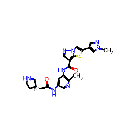 Cc1ncc(NC(=O)C[C@@H]2CCNC2)cc1NC(=O)c1cnn2cc(-c3cnn(C)c3)sc12